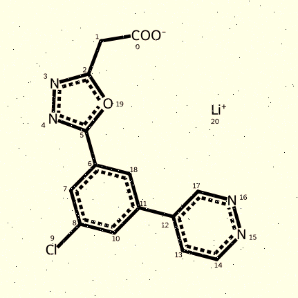 O=C([O-])Cc1nnc(-c2cc(Cl)cc(-c3ccnnc3)c2)o1.[Li+]